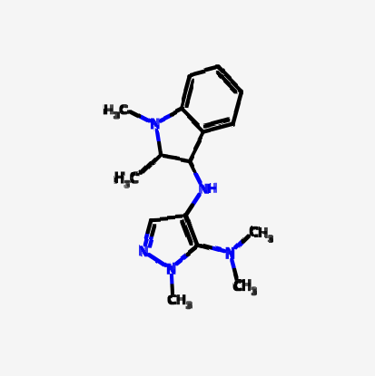 CC1C(Nc2cnn(C)c2N(C)C)c2ccccc2N1C